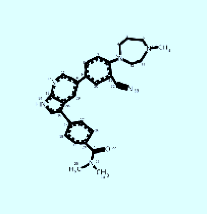 CN1CCCN(c2ccc(-c3cnc4[nH]cc(-c5ccc(C(=O)N(C)C)cc5)c4c3)cc2C#N)CC1